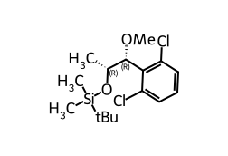 CO[C@H](c1c(Cl)cccc1Cl)[C@@H](C)O[Si](C)(C)C(C)(C)C